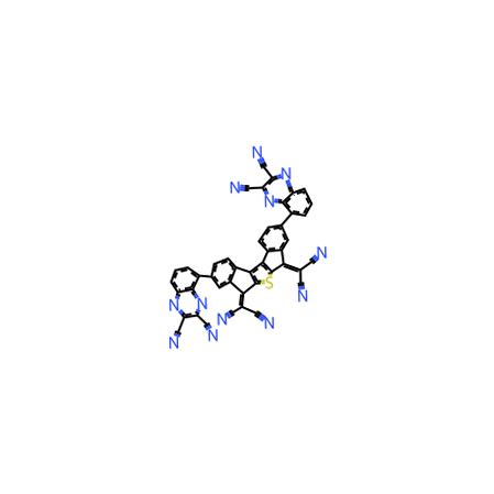 N#CC(C#N)=C1c2cc(-c3cccc4nc(C#N)c(C#N)nc34)ccc2-c2c1sc1c2-c2ccc(-c3cccc4nc(C#N)c(C#N)nc34)cc2C1=C(C#N)C#N